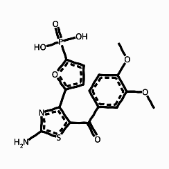 COc1ccc(C(=O)c2sc(N)nc2-c2ccc(P(=O)(O)O)o2)cc1OC